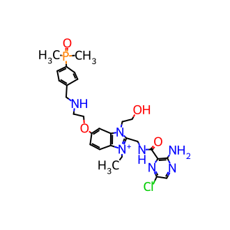 CC[n+]1c(CNC(=O)c2nc(Cl)cnc2N)n(CCO)c2cc(OCCNCc3ccc(P(C)(C)=O)cc3)ccc21